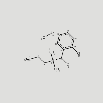 CC(=O)[O-].CCCCCCCCCCCC[N+](C)(C)C(Cl)c1ccccc1Cl